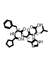 CC(C)C[C@H](NC(=O)[C@H](Cc1c[nH]cn1)NC(=O)[C@H](Cc1ccccc1)NC(=O)C1CCCC1)C(=O)O